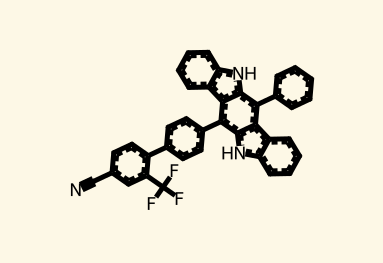 N#Cc1ccc(-c2ccc(-c3c4[nH]c5ccccc5c4c(-c4ccccc4)c4[nH]c5ccccc5c34)cc2)c(C(F)(F)F)c1